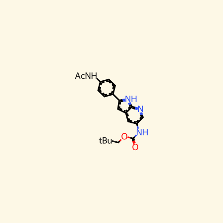 CC(=O)Nc1ccc(-c2cc3cc(NC(=O)OCC(C)(C)C)cnc3[nH]2)cc1